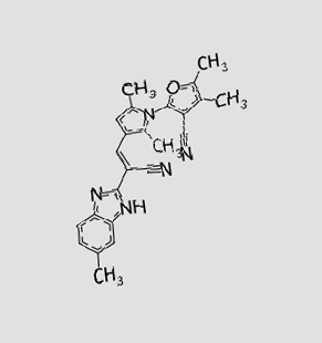 Cc1ccc2nc(/C(C#N)=C/c3cc(C)n(-c4oc(C)c(C)c4C#N)c3C)[nH]c2c1